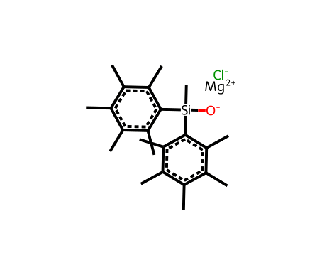 Cc1c(C)c(C)c([Si](C)([O-])c2c(C)c(C)c(C)c(C)c2C)c(C)c1C.[Cl-].[Mg+2]